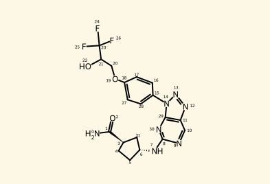 NC(=O)[C@@H]1CC[C@@H](Nc2ncc3nnn(-c4ccc(OCC(O)C(F)(F)F)cc4)c3n2)C1